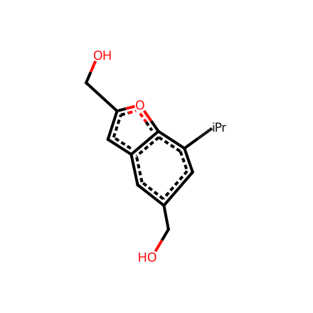 CC(C)c1cc(CO)cc2cc(CO)oc12